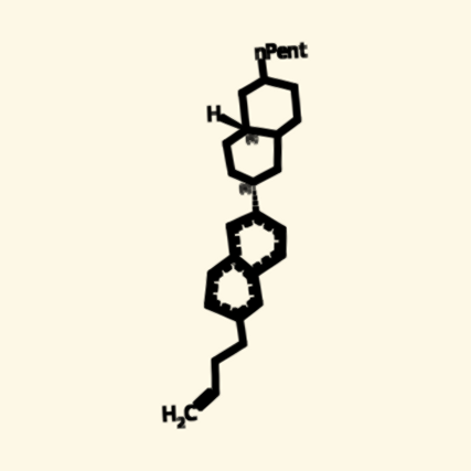 C=CCCc1ccc2cc([C@@H]3CC[C@@H]4CC(CCCCC)CCC4C3)ccc2c1